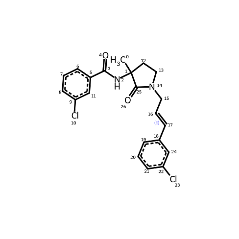 CC1(NC(=O)c2cccc(Cl)c2)CCN(C/C=C/c2cccc(Cl)c2)C1=O